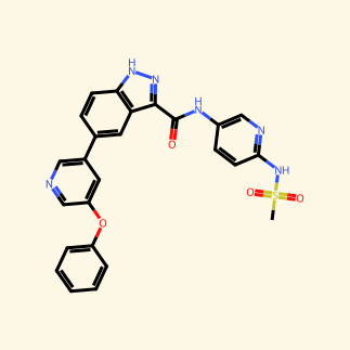 CS(=O)(=O)Nc1ccc(NC(=O)c2n[nH]c3ccc(-c4cncc(Oc5ccccc5)c4)cc23)cn1